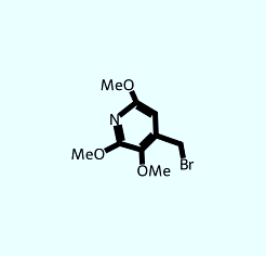 COc1cc(CBr)c(OC)c(OC)n1